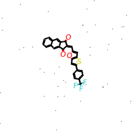 O=C1C(=Cc2cc3sc(-c4ccc(C(F)(F)F)cc4)cc3o2)C(=O)c2cc3ccccc3cc21